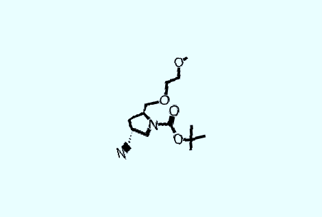 COCCOC[C@@H]1C[C@@H](C#N)CN1C(=O)OC(C)(C)C